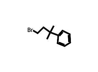 CC(C)(CCBr)c1ccccc1